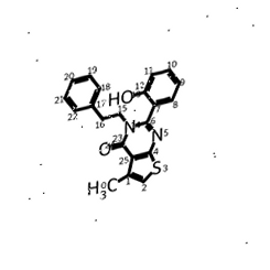 Cc1csc2nc(-c3ccccc3O)n(CCc3ccccc3)c(=O)c12